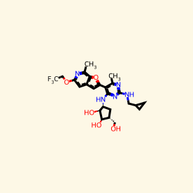 Cc1nc(NCC2CC2)nc(N[C@@H]2C[C@H](CO)[C@@H](O)[C@H]2O)c1-c1cc2cc(OCC(F)(F)F)nc(C)c2o1